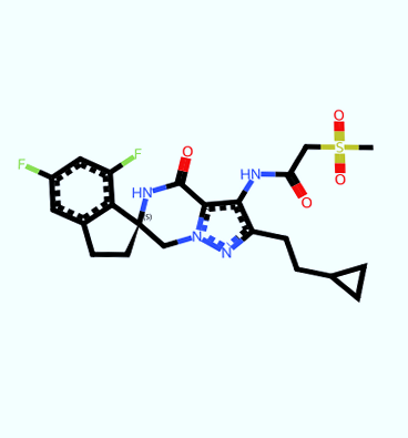 CS(=O)(=O)CC(=O)Nc1c(CCC2CC2)nn2c1C(=O)N[C@]1(CCc3cc(F)cc(F)c31)C2